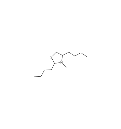 CCCCC1CSC(CCCC)N1C